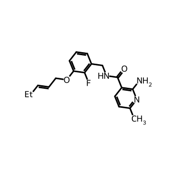 CCC=CCOc1cccc(CNC(=O)c2ccc(C)nc2N)c1F